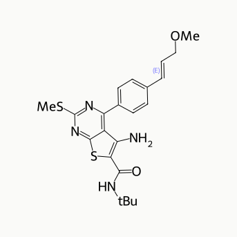 COC/C=C/c1ccc(-c2nc(SC)nc3sc(C(=O)NC(C)(C)C)c(N)c23)cc1